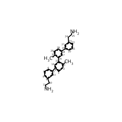 Cc1ccc(-c2cccc(CCN)c2)cc1-c1cc(-c2cccc(CCN)c2)ccc1C